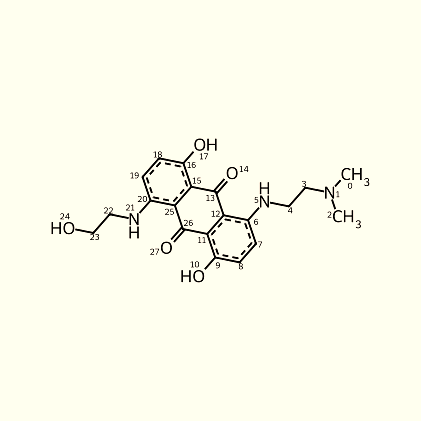 CN(C)CCNc1ccc(O)c2c1C(=O)c1c(O)ccc(NCCO)c1C2=O